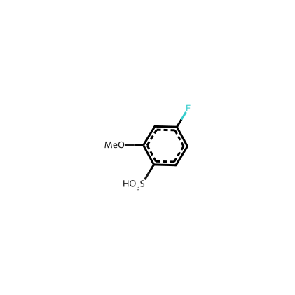 COc1cc(F)ccc1S(=O)(=O)O